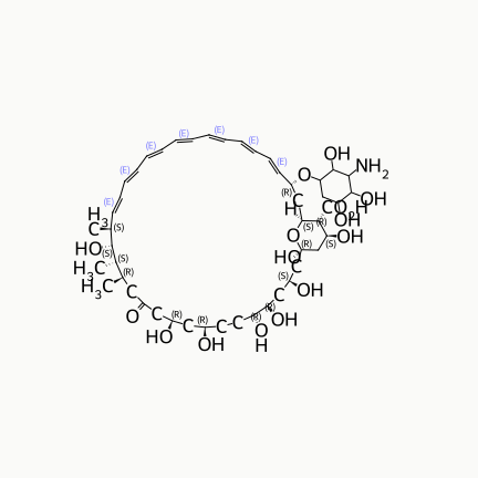 C[C@@H]1[C@H](O)[C@@H](C)/C=C/C=C/C=C/C=C/C=C/C=C/C=C/[C@H](OC2CC(O)C(O)C(N)C2O)C[C@@H]2O[C@](O)(C[C@@H](O)C[C@@H](O)[C@H](O)CC[C@@H](O)C[C@@H](O)CC(=O)C[C@H]1C)C[C@H](O)[C@H]2C(=O)O